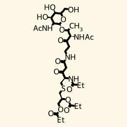 CCC(=O)N[C@@H](CSC[C@H](COC(=O)CC)OC(=O)CC)C(=O)CC(=O)NCCC(=O)[C@@H](NC(C)=O)C(C)O[C@H]1OC(CO)[C@H](O)[C@H](O)C1NC(C)=O